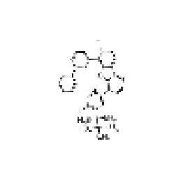 BC(B)(c1cc(-c2cccc3c2oc2c(-c4cccc(-c5ccccc5)c4)c(F)ccc23)ncc1F)C(C)(C)C